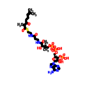 CC(C)=CCCC(=O)C(C)C(=O)SCCNC(=O)CCNC(=O)[C@H](O)C(C)(C)COP(=O)(O)OP(=O)(O)OC[C@H]1O[C@@H](n2cnc3c(N)ncnc32)[C@H](O)[C@@H]1OP(=O)(O)O